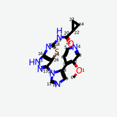 COc1cnccc1-c1cncn1-c1n[nH]c2nc(NC(=O)C3CC3)sc12